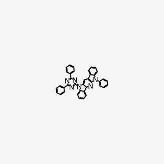 c1ccc(-c2nc(-c3ccccc3)nc(-n3c4ccccc4c4nc5c(cc43)c3ccccc3n5-c3ccccc3)n2)cc1